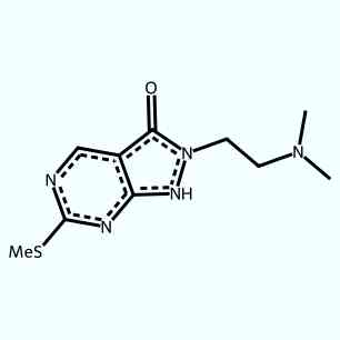 CSc1ncc2c(=O)n(CCN(C)C)[nH]c2n1